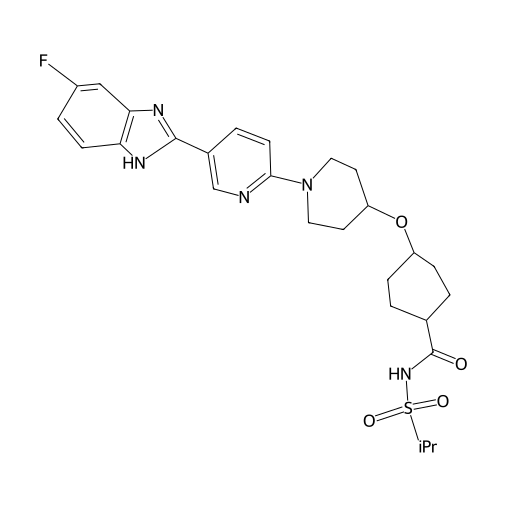 CC(C)S(=O)(=O)NC(=O)C1CCC(OC2CCN(c3ccc(-c4nc5cc(F)ccc5[nH]4)cn3)CC2)CC1